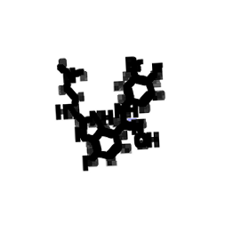 CN(C)CCNc1nc2c(F)ccc(/C(=N\O)Nc3ccc(F)c(Br)c3)c2[nH]1